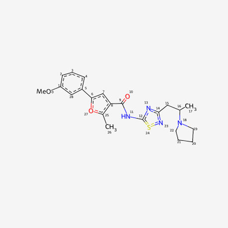 COc1cccc(-c2cc(C(=O)Nc3nc(CC(C)N4CCCC4)ns3)c(C)o2)c1